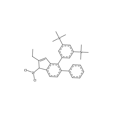 CCC1=Cc2c(ccc(-c3ccccc3)c2-c2cc([Si](C)(C)C)cc([Si](C)(C)C)c2)[CH]1[Zr]([Cl])[Cl]